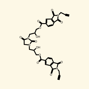 C#CCN1C(=O)c2ccc(C(=O)OCC(O)CN3CC(=O)N(CC(O)COC(=O)c4ccc5c(c4)C(=O)N(CC#C)C5=O)C3=O)cc2C1=O